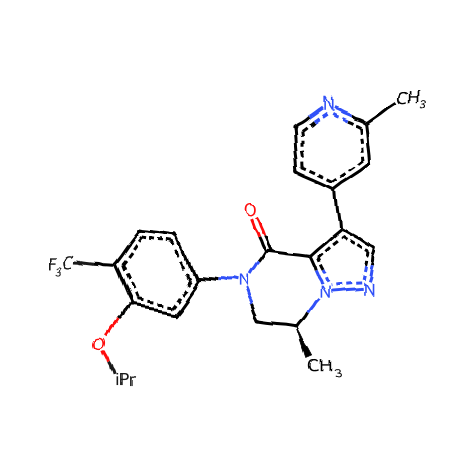 Cc1cc(-c2cnn3c2C(=O)N(c2ccc(C(F)(F)F)c(OC(C)C)c2)C[C@@H]3C)ccn1